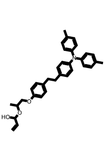 C=CC(O)OC(C)COc1ccc(CCc2ccc(N(c3ccc(C)cc3)c3ccc(C)cc3)cc2)cc1